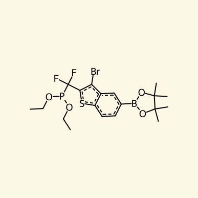 CCOP(OCC)C(F)(F)c1sc2ccc(B3OC(C)(C)C(C)(C)O3)cc2c1Br